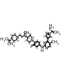 Cc1cnc(Nc2ccc(N3CCC(N(C)CCN4CCN(C(C)C)CC4)CC3)c(F)c2)nc1-c1cnn(C(C)C)c1